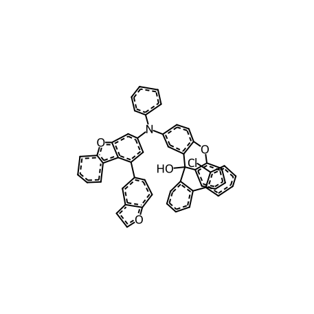 OC1(c2ccccc2-c2ccccc2Cl)c2ccccc2Oc2ccc(N(c3ccccc3)c3cc(-c4ccc5occc5c4)c4c(c3)oc3ccccc34)cc21